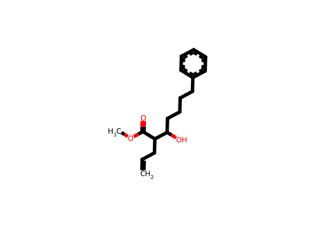 C=CCC(C(=O)OC)C(O)CCCCc1ccccc1